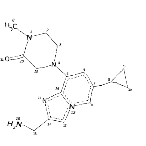 CN1CCN(c2cc(C3CC3)cn3cc(CN)nc23)CC1=O